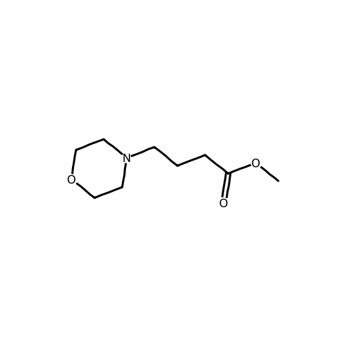 COC(=O)CCCN1CCOCC1